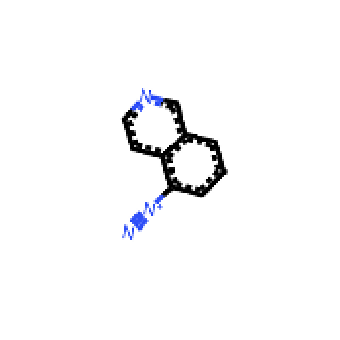 N#[N+]c1cccc2cnccc12